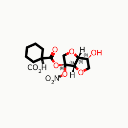 O=C(O)C1(C(=O)O[C@@]2(O[N+](=O)[O-])CO[C@@H]3[C@H](O)CO[C@@H]32)CCCCC1